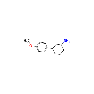 COc1ccc(C2CCCC(N)C2)cc1